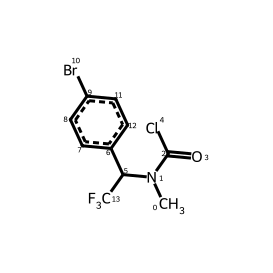 CN(C(=O)Cl)C(c1ccc(Br)cc1)C(F)(F)F